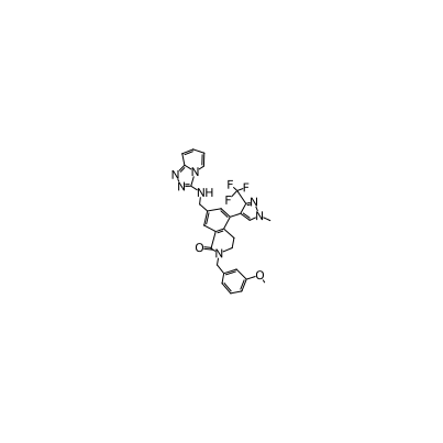 COc1cccc(CN2CCc3c(cc(CNc4nnc5ccccn45)cc3-c3cn(C)nc3C(F)(F)F)C2=O)c1